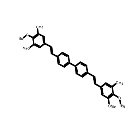 CCC(C)Oc1c(OC)cc(C=Cc2ccc(-c3ccc(C=Cc4cc(OC)c(OC(C)CC)c(OC)c4)cc3)cc2)cc1OC